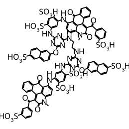 Cn1c(=O)c(C(=O)c2cccc(S(=O)(=O)O)c2)c2c3c(c(Nc4cc(Nc5nc(NCCNc6nc(Nc7cc(Nc8ccc9c%10c8C(=O)c8ccccc8-c%10c(C(=O)c8cccc(S(=O)(=O)O)c8)c(=O)n9C)c(S(=O)(=O)O)cc7S(=O)(=O)O)nc(Oc7ccc8cc(S(=O)(=O)O)ccc8c7)n6)nc(Oc6ccc7cc(S(=O)(=O)O)ccc7c6)n5)c(S(=O)(=O)O)cc4S(=O)(=O)O)ccc31)C(=O)c1ccccc1-2